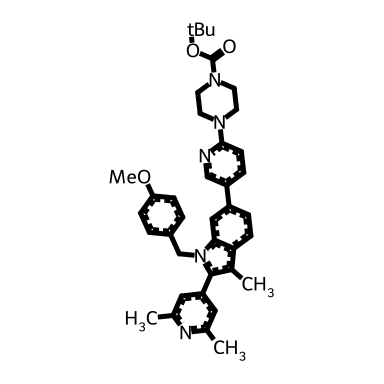 COc1ccc(Cn2c(-c3cc(C)nc(C)c3)c(C)c3ccc(-c4ccc(N5CCN(C(=O)OC(C)(C)C)CC5)nc4)cc32)cc1